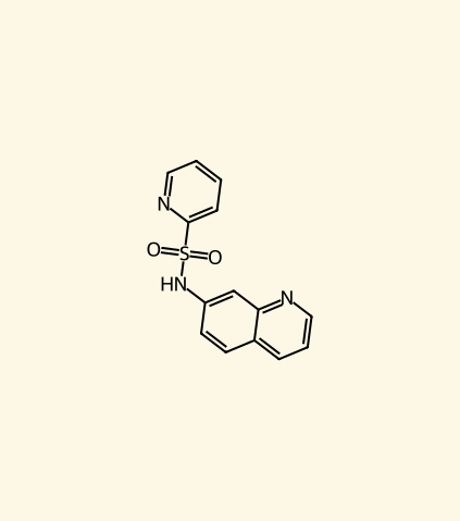 O=S(=O)(Nc1ccc2cccnc2c1)c1ccccn1